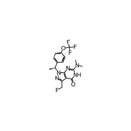 C[C@@H](c1ccc(OC(F)(F)F)cc1)n1nc(CF)c2c(=O)[nH]c(N(C)C)nc21